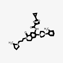 C=C1CCCN1CCCN1CCc2cc(N3CCN(c4ccccc4C)CC3)c(NC(=O)c3coc(C4CC4)n3)cc2C1=O